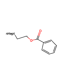 CCCCCCCC[CH]OC(=O)c1ccccc1